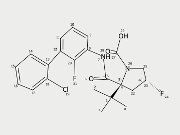 CC(C)(C)[C@]1(C(=O)Nc2cccc(-c3ccccc3Cl)c2F)C[C@@H](F)CN1C(=O)O